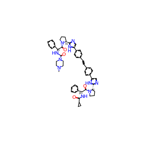 CN1CCN(C(=O)N[C@@H](C(=O)N2CCC[C@H]2c2ncc(-c3ccc(C#Cc4ccc(-c5cnc([C@@H]6CCCN6C(=O)[C@H](NC(=O)C6CC6)c6ccccc6)[nH]5)cc4)cc3)[nH]2)c2ccccc2)CC1